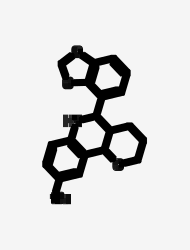 CC(C)(C)c1ccc2c(c1)C1OCCCC1C(c1cccc3c1OCO3)N2